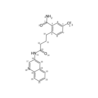 NC(=O)c1cc(C(F)(F)F)ccc1CC[CH]C(=O)Nc1cnc2ccccc2c1